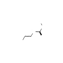 CCCOC(=O)OCCC(C)C